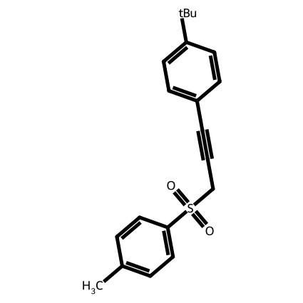 Cc1ccc(S(=O)(=O)CC#Cc2ccc(C(C)(C)C)cc2)cc1